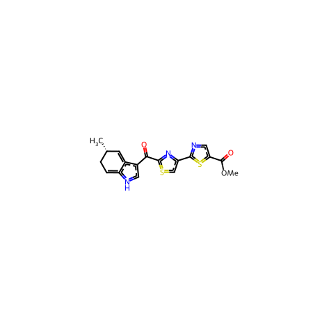 COC(=O)c1cnc(-c2csc(C(=O)c3c[nH]c4c3=C[C@@H](C)CC=4)n2)s1